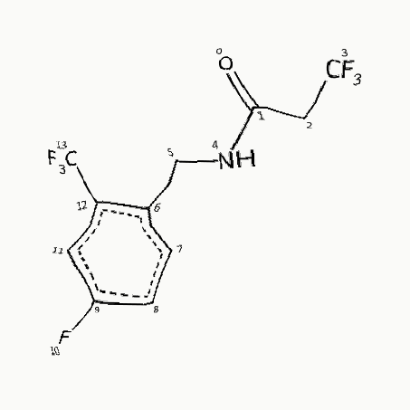 O=C(CC(F)(F)F)NCc1ccc(F)cc1C(F)(F)F